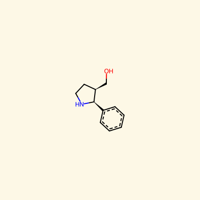 OC[C@@H]1CCN[C@@H]1c1ccccc1